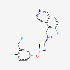 FCc1cc(O[C@H]2C[C@H](NCc3c(F)ccc4cnccc34)C2)ccc1F